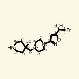 CC(C)C(C)c1cc(N2CCN(CC3(F)CCNCC3)CC2)no1